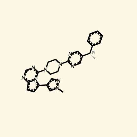 C[C@@H](c1ccccc1)c1cnc(N2CCN(c3ncnc4ccc(-c5cnn(C)c5)n34)CC2)nc1